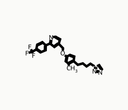 Cc1cc(OCc2ccnc(-c3ccc(C(F)(F)F)cc3)c2)ccc1CCCCn1ccnn1